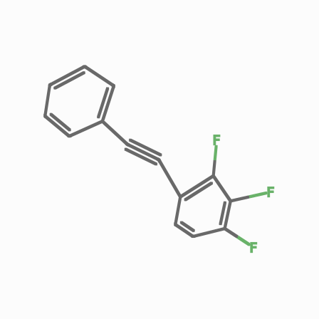 Fc1ccc(C#Cc2ccccc2)c(F)c1F